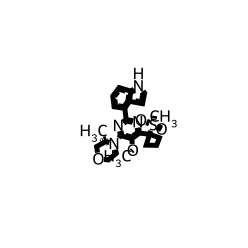 COc1c(N2CCOC[C@H]2C)nc(-c2cccc3[nH]ccc23)nc1C1(S(C)(=O)=O)CCC1